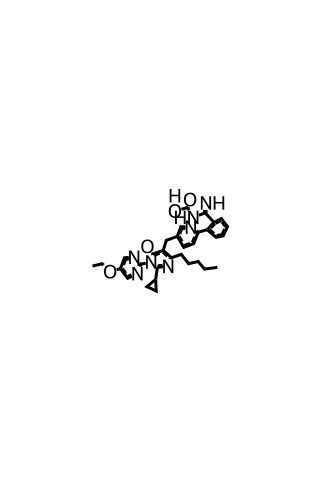 CCCCCc1nc(C2CC2)n(-c2ncc(OCC)cn2)c(=O)c1Cc1ccc(-c2ccccc2C(=N)NC(=O)O)nc1